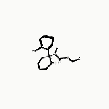 CN(C(=O)OCCl)[C@]1(c2ccccc2Cl)CCCCC1O